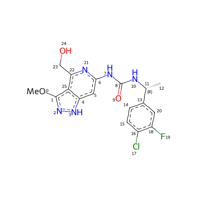 COc1n[nH]c2cc(NC(=O)N[C@H](C)c3ccc(Cl)c(F)c3)nc(CO)c12